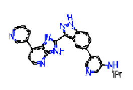 CC(C)Nc1cncc(-c2ccc3[nH]nc(-c4nc5c(-c6cccnc6)ccnc5[nH]4)c3c2)c1